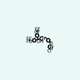 OC(c1ccc(OC(F)(F)F)cc1)(c1ccc(OC(F)(F)F)cc1)C1CCN(Cc2ccc(Oc3ccc(Cl)nn3)cc2)CC1